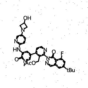 CC(=O)OCc1c(-c2cc(Nc3ccc(N4CC(O)C4)cn3)c(=O)n(C)c2)ccnc1-n1ncc2cc(C(C)(C)C)cc(F)c2c1=O